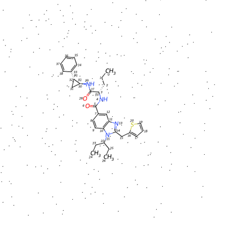 CCC[C@H](NC(=O)c1ccc2c(c1)nc(Cc1cccs1)n2C(CC)CC)C(=O)N[C@H]1C[C@@H]1c1ccccc1